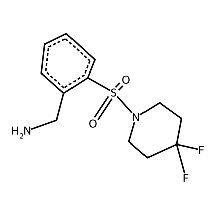 NCc1ccccc1S(=O)(=O)N1CCC(F)(F)CC1